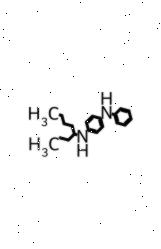 CCCCC(CCC)Nc1ccc(Nc2ccccc2)cc1